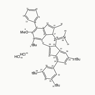 COc1c(C(C)(C)C)cc2c(c1-c1ccccc1)C=C(C)[CH]2[Zr]([CH]1C(C)=Cc2c(-c3cc(C(C)(C)C)cc(C(C)(C)C)c3)cc(C(C)(C)C)cc21)=[Si](C)C.Cl.Cl